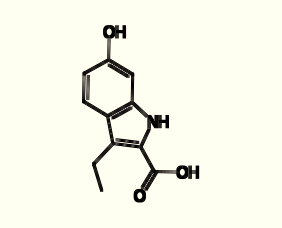 CCc1c(C(=O)O)[nH]c2cc(O)ccc12